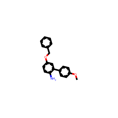 COc1ccc(-c2cc(OCc3ccccc3)ccc2N)cc1